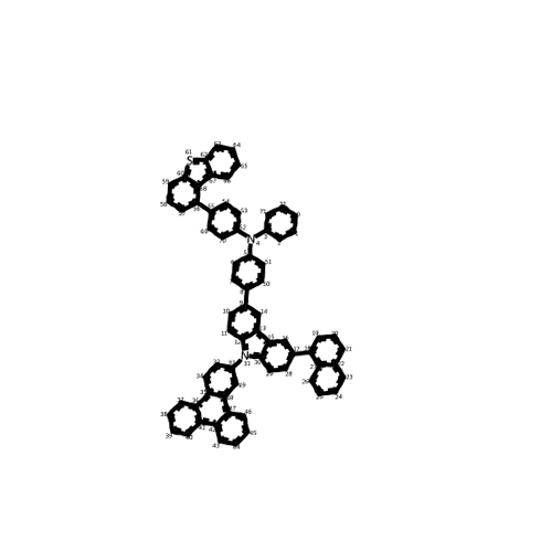 c1ccc(N(c2ccc(-c3ccc4c(c3)c3cc(-c5cccc6ccccc56)ccc3n4-c3ccc4c5ccccc5c5ccccc5c4c3)cc2)c2ccc(-c3cccc4sc5ccccc5c34)cc2)cc1